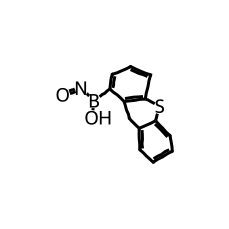 O=NB(O)c1cccc2c1Cc1ccccc1S2